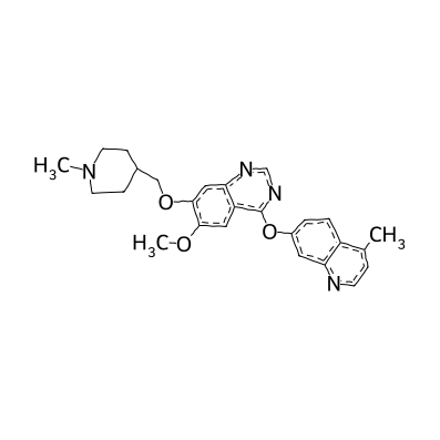 COc1cc2c(Oc3ccc4c(C)ccnc4c3)ncnc2cc1OCC1CCN(C)CC1